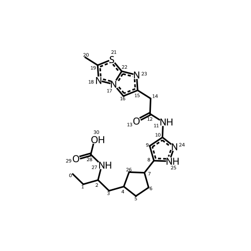 CCC(CC1CCC(c2cc(NC(=O)Cc3cn4nc(C)sc4n3)n[nH]2)C1)NC(=O)O